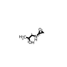 CC(O)CNC1CO1